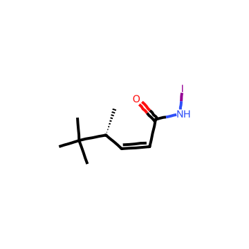 C[C@H](/C=C\C(=O)NI)C(C)(C)C